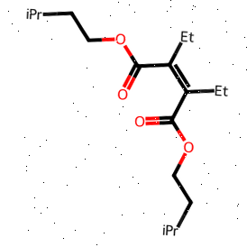 CC/C(C(=O)OCCC(C)C)=C(\CC)C(=O)OCCC(C)C